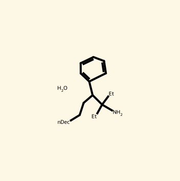 CCCCCCCCCCCCC(c1ccccc1)C(N)(CC)CC.O